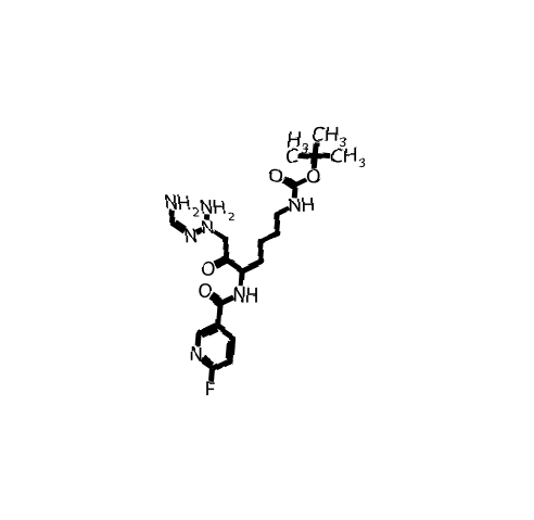 CC(C)(C)OC(=O)NCCCCC(NC(=O)c1ccc(F)nc1)C(=O)CN(N)/N=C\N